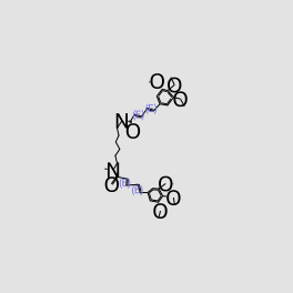 COc1cc(/C=C/C=C/C(=O)N(C)CCCCCCN(C)C(=O)/C=C/C=C/c2cc(OC)c(OC)c(OC)c2)cc(OC)c1OC